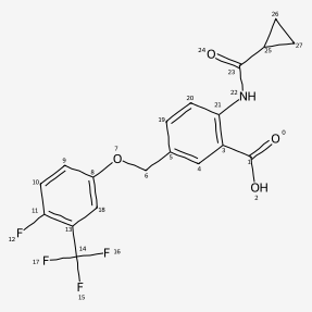 O=C(O)c1cc(COc2ccc(F)c(C(F)(F)F)c2)ccc1NC(=O)C1CC1